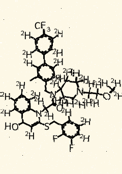 [2H]C1=C(SCc2c([2H])c([2H])c([2H])c(F)c2F)N(C([2H])([2H])C(=O)N(Cc2c([2H])c([2H])c(-c3c([2H])c([2H])c(C(F)(F)F)c([2H])c3[2H])c([2H])c2C)C2([2H])C([2H])([2H])C([2H])([2H])N(C([2H])([2H])C([2H])([2H])OC([2H])([2H])[2H])C([2H])([2H])C2([2H])[2H])c2c([2H])c([2H])c([2H])c([2H])c2C1O